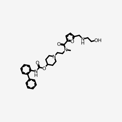 CN(CCN1CCC(OC(=O)Nc2ccccc2-c2ccccc2)CC1)C(=O)c1ccc(CNCCO)o1